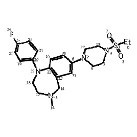 CCS(=O)(=O)N1CCN(c2ccc3c(c2)CN(C)CCN3c2ccc(F)cc2)CC1